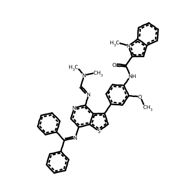 COc1cc(-c2csc3c(N=C(c4ccccc4)c4ccccc4)cnc(N=CN(C)C)c23)ccc1NC(=O)c1cc2ccccc2n1C